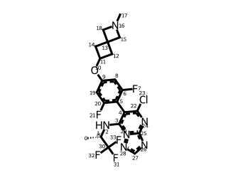 C[C@H](Nc1c(-c2c(F)cc(OC3CC4(C3)CN(C)C4)cc2F)c(Cl)nc2ncnn12)C(F)(F)F